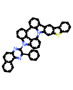 c1ccc(-c2nc3c(ccc4ccccc43)nc2-n2c3cccc4c5cccc6c7cc8c(cc7n(c7cccc2c7c43)c56)sc2ccccc28)cc1